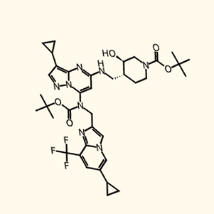 CC(C)(C)OC(=O)N1CC[C@H](CNc2cc(N(Cc3cn4cc(C5CC5)cc(C(F)(F)F)c4n3)C(=O)OC(C)(C)C)n3ncc(C4CC4)c3n2)[C@@H](O)C1